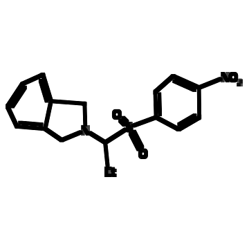 CCC(N1Cc2ccccc2C1)S(=O)(=O)c1ccc([N+](=O)[O-])cc1